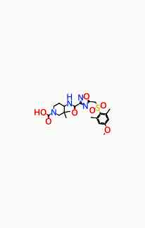 COc1cc(C)c(S(=O)(=O)Cc2nc(C(=O)NC3CCN(C(=O)O)CC3(C)C)no2)c(C)c1